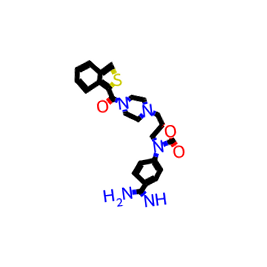 N=C(N)c1ccc(N2CC(CN3CCN(C(=O)c4scc5ccccc45)CC3)OC2=O)cc1